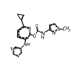 Cn1ccc(NC(=O)Oc2nc(C3CC3)ccc2Nc2cncnc2)n1